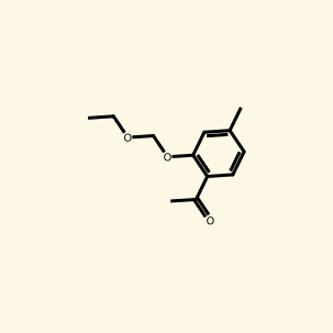 CCOCOc1cc(C)ccc1C(C)=O